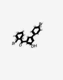 O=C(c1cc(O)cc(-c2ccc(Br)cc2)c1)c1ccccc1Br